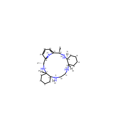 C[C@H]1N[C@H]2CCCC[C@@H]2NCCN[C@H]2CCCC[C@@H]2N[C@H](C)c2cccc1n2